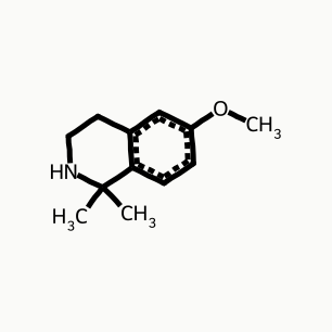 COc1ccc2c(c1)CCNC2(C)C